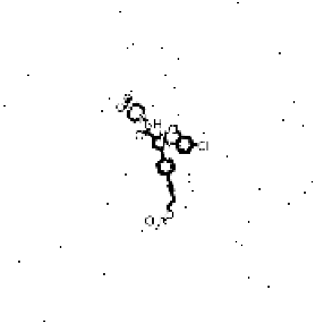 O=C(NN1CCS(=O)(=O)CC1)C1=NN(c2ccc(Cl)cc2Cl)C(c2ccc(C#CCCO[N+](=O)[O-])cc2)C1